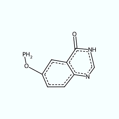 O=c1[nH]cnc2ccc(OP)cc12